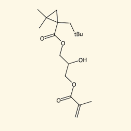 C=C(C)C(=O)OCC(O)COC(=O)C1(CC(C)(C)C)CC1(C)C